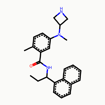 CCC(NC(=O)c1cc(N(C)C2CNC2)ccc1C)c1cccc2ccccc12